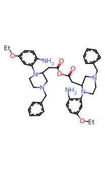 CCOc1ccc(N)c(N2CCN(Cc3ccccc3)CC2CC(=O)OC(=O)CC2CN(Cc3ccccc3)CCN2c2cc(OCC)ccc2N)c1